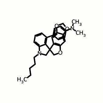 CCCCCN1CC2(COc3cc4c(cc32)OCO4)c2c(-c3ccc(N(C)C)cc3)cccc21